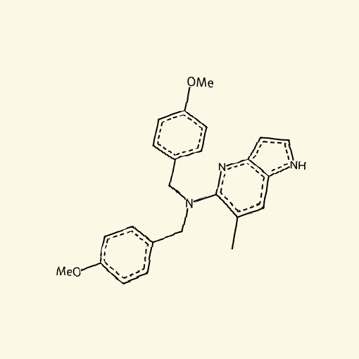 COc1ccc(CN(Cc2ccc(OC)cc2)c2nc3cc[nH]c3cc2C)cc1